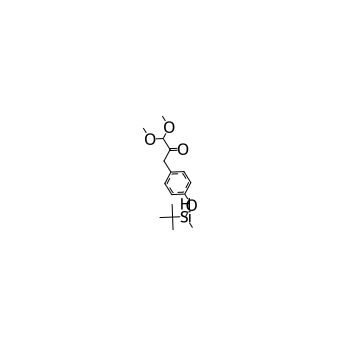 COC(OC)C(=O)Cc1ccc(O[SiH](C)C(C)(C)C)cc1